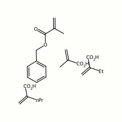 C=C(C)C(=O)O.C=C(C)C(=O)OCc1ccccc1.C=C(CC)C(=O)O.C=C(CCC)C(=O)O